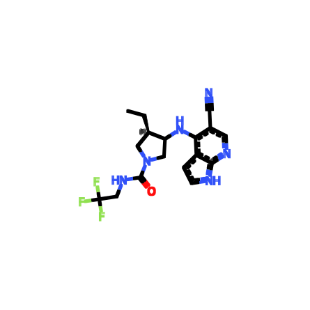 CC[C@@H]1CN(C(=O)NCC(F)(F)F)CC1Nc1c(C#N)cnc2[nH]ccc12